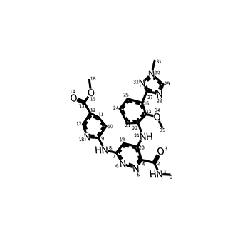 CNC(=O)c1nnc(Nc2ccc(C(=O)OC)cn2)cc1Nc1cccc(-c2ncn(C)n2)c1OC